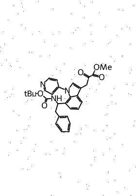 COC(=O)C(=O)Cc1cn(-c2ccncc2)c2c(C(Cc3ccccc3)NC(=O)OC(C)(C)C)cccc12